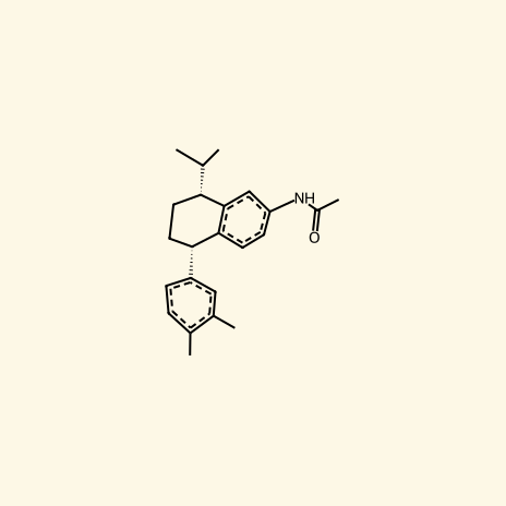 CC(=O)Nc1ccc2c(c1)[C@@H](C(C)C)CC[C@H]2c1ccc(C)c(C)c1